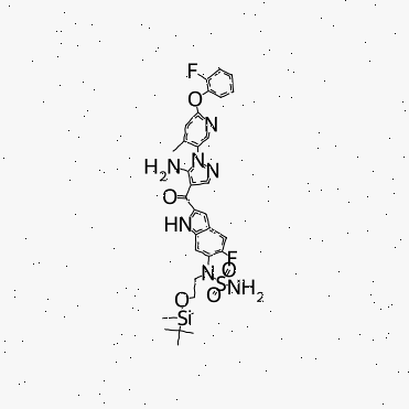 Cc1cc(Oc2ccccc2F)ncc1-n1ncc(C(=O)c2cc3cc(F)c(N(CCO[Si](C)(C)C(C)(C)C)S(N)(=O)=O)cc3[nH]2)c1N